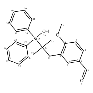 COc1ccc(C=O)cc1CC(C)(C)[Si](O)(c1ccccc1)c1ccccc1